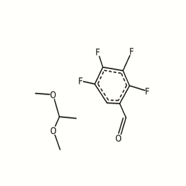 COC(C)OC.O=Cc1cc(F)c(F)c(F)c1F